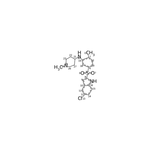 Cc1ccc(S(=O)(=O)c2cc3cc(Cl)ccc3[nH]2)cc1NC1CCN(C)CC1